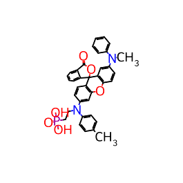 Cc1ccc(N(CCP(=O)(O)O)c2ccc3c(c2)Oc2ccc(N(C)c4ccccc4)cc2C32OC(=O)c3ccccc32)cc1